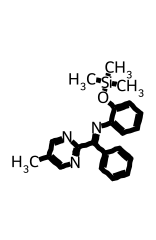 Cc1cnc(C(=Nc2ccccc2O[Si](C)(C)C)c2ccccc2)nc1